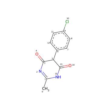 CC1=NC(=O)C(c2ccc(Cl)cc2)C(=O)N1